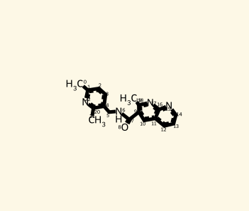 Cc1ccc(CNC(=O)c2cc3cccnc3nc2C)c(C)n1